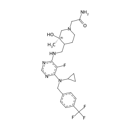 C[C@]1(O)CN(CC(N)=O)CCC1CNc1ncnc(N(Cc2ccc(C(F)(F)F)cc2)C2CC2)c1F